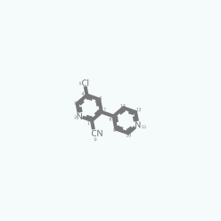 N#Cc1ncc(Cl)cc1-c1ccncc1